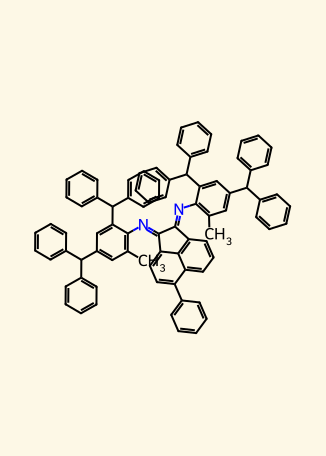 Cc1cc(C(c2ccccc2)c2ccccc2)cc(C(c2ccccc2)c2ccccc2)c1N=C1C(=Nc2c(C)cc(C(c3ccccc3)c3ccccc3)cc2C(c2ccccc2)c2ccccc2)c2ccc(-c3ccccc3)c3cccc1c23